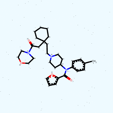 Cc1ccc(N(C(=O)c2ccco2)C2CCN(CCC3(CC(=O)N4CCOCC4)CCCCC3)CC2)cc1